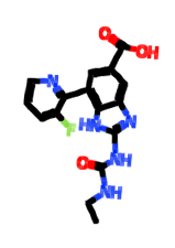 CCNC(=O)Nc1nc2cc(C(=O)O)cc(-c3ncccc3F)c2[nH]1